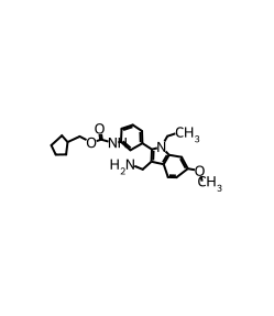 CCn1c(-c2cccc(NC(=O)OCC3CCCC3)c2)c(CN)c2ccc(OC)cc21